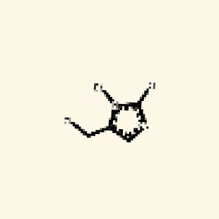 CCn1c(CCl)cnc1Cl